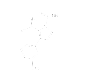 CCCCC(CC)c1c(-c2cccc(OC)c2)ccn1C(N)=O